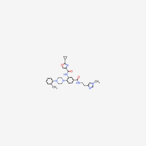 Cc1ccccc1N1CCN(c2ccc(C(=O)NCCc3cn(C)cn3)cc2NC(=O)c2coc(C3CC3)n2)CC1